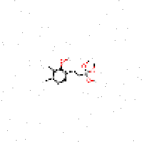 COc1c(CC[Si](OC)(OC)OC)ccc(C)c1C